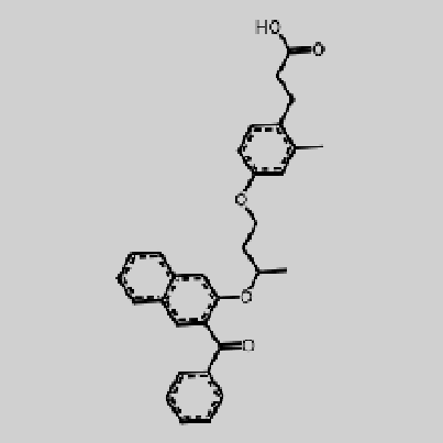 Cc1cc(OCCC(C)Oc2cc3ccccc3cc2C(=O)c2ccccc2)ccc1CCC(=O)O